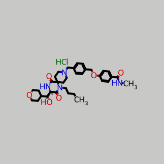 CCCCN1C(=O)[C@@H]([C@H](O)C2CCOCC2)NC(=O)C12CCN(Cc1ccc(COc3ccc(C(=O)NC)cc3)cc1)CC2.Cl